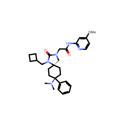 COc1ccnc(NC(=O)CN2C[C@]3(CC[C@](c4ccccc4)(N(C)C)CC3)N(CC3CCC3)C2=O)c1